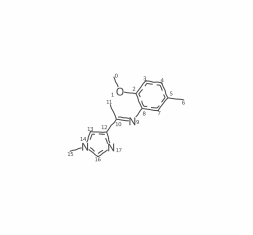 COc1ccc(C)cc1N=C(C)c1cn(C)cn1